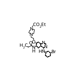 C=CC(=O)Nc1cc2c(Nc3cccc(Br)c3)ncnc2cc1OCCN1CCN(CC(=O)OCC)CC1